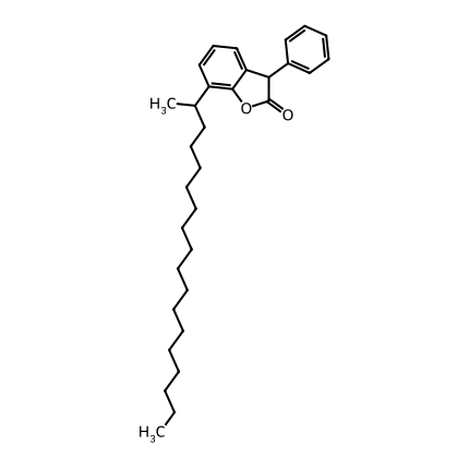 CCCCCCCCCCCCCCCCC(C)c1cccc2c1OC(=O)C2c1ccccc1